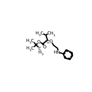 CC(C)[C@H](OCCNc1ccccc1)C(=O)OC(C)(C)C